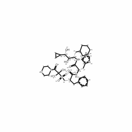 CC(C)(C(=O)N1CCOCC1)S(=O)(=O)C[C@@H](Cc1ccccc1)C(=O)N[C@@H](Cc1c[nH]cn1)C(=O)N[C@@H](CC1CCCCC1)[C@@H](O)[C@@H](O)C1CC1